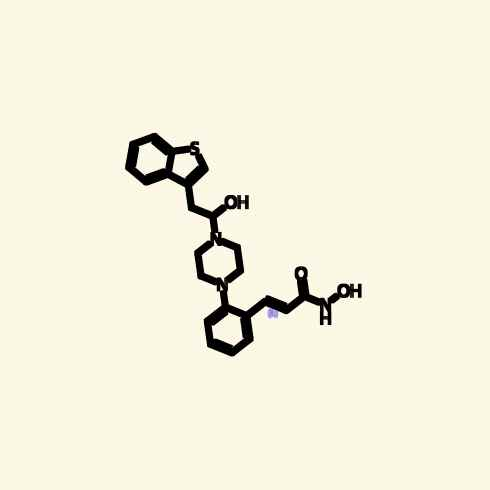 O=C(/C=C/c1ccccc1N1CCN(C(O)Cc2csc3ccccc23)CC1)NO